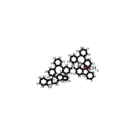 CC1(C)c2ccccc2-c2ccc(N(c3ccc4c(c3)-c3ccccc3-c3ccccc3[C@@]43c4ccccc4-c4cc5oc6ccccc6c5cc43)c3cccc4c3Oc3ccccc3-c3ccccc3-4)cc21